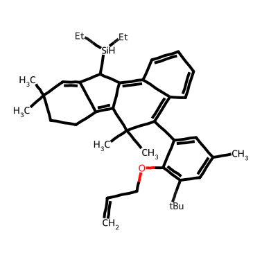 C=CCOc1c(C2=c3ccccc3=C3C(=C4CCC(C)(C)C=C4C3[SiH](CC)CC)C2(C)C)cc(C)cc1C(C)(C)C